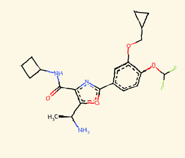 C[C@H](N)c1oc(-c2ccc(OC(F)F)c(OCC3CC3)c2)nc1C(=O)NC1C[CH]C1